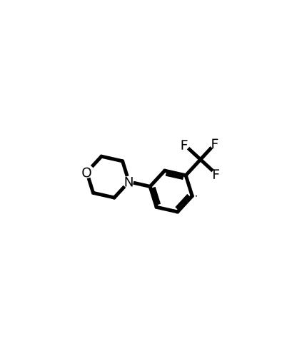 FC(F)(F)c1[c]ccc(N2CCOCC2)c1